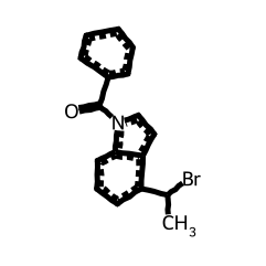 CC(Br)c1cccc2c1ccn2C(=O)c1ccccc1